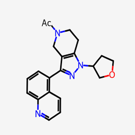 CC(=O)N1CCc2c(c(-c3cccc4ncccc34)nn2C2CCOC2)C1